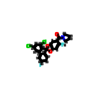 O=C(c1cc2c(cc1F)OC(c1ccc(F)cc1)(c1ccc(Cl)cc1Cl)O2)N1CC=CC1